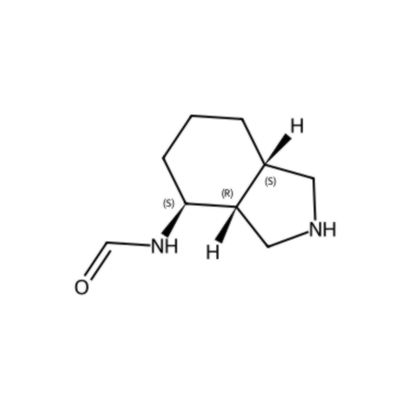 O=CN[C@H]1CCC[C@@H]2CNC[C@@H]21